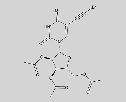 CC(=O)OC[C@H]1O[C@@H](n2cc(C#CBr)c(=O)[nH]c2=O)[C@H](OC(C)=O)[C@@H]1OC(C)=O